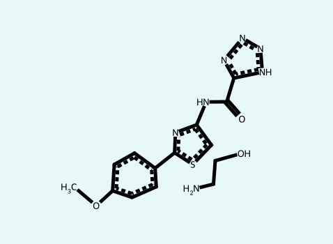 COc1ccc(-c2nc(NC(=O)c3nnn[nH]3)cs2)cc1.NCCO